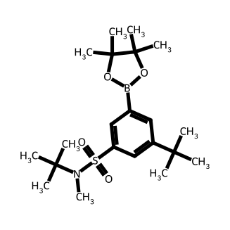 CN(C(C)(C)C)S(=O)(=O)c1cc(B2OC(C)(C)C(C)(C)O2)cc(C(C)(C)C)c1